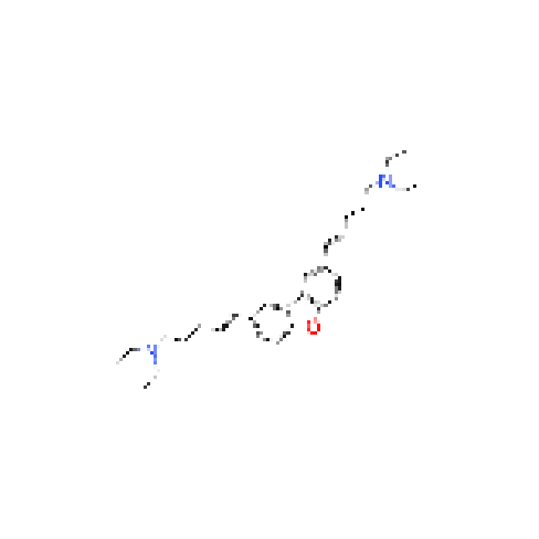 CCN(CC)CCC/C=C/c1ccc2oc3ccc(/C=C/CCCN(CC)CC)cc3c2c1